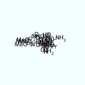 CCC1CN2CCc3cc(OC)c(OC)cc3C2CC1CC1c2cc(OC)c(OC)cc2CCN1C(=O)OCc1ccc(NC(=O)C(CCC(N)=O)NC(=O)[C@H](CC(C)C)NC(=O)[C@H](CCCCN)NC(=O)[C@H](CO)NC(=O)[C@H](CO)NC(=O)[C@H](Cc2c[nH]cn2)NC(=O)N2CCOCC2)cc1